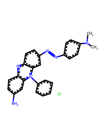 CN(C)c1ccc(N=Nc2ccc3nc4ccc(N)cc4[n+](-c4ccccc4)c3c2)cc1.[Cl-]